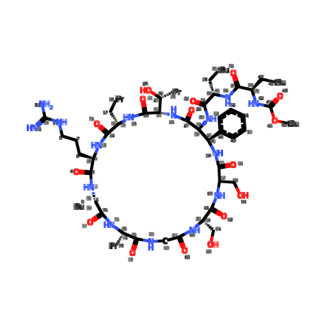 CC[C@H](C)[C@@H]1NC(=O)[C@@H](CCCNC(=N)N)NC(=O)[C@H](CC(C)C)NC(=O)[C@H]([C@H](O)C(C)C)NC(=O)[C@@H](NC(=O)[C@H](CC(C)(C)C)NC(=O)[C@@H](CC(C)(C)C)NC(=O)OC(C)(C)C)[C@@H](c2ccccc2)NC(=O)C(CO)NC(=O)[C@H](CO)NC(=O)CNC(=O)[C@H](C(C)C)NC1=O